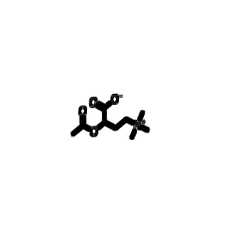 CC(=O)OC(CC[N+](C)(C)C)C(=O)[O-]